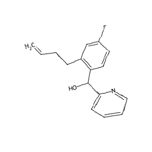 C=CCCc1cc(F)ccc1C(O)c1ccccn1